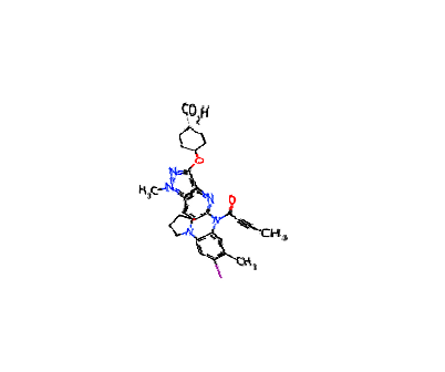 CC#CC(=O)N(c1ccc2c(n1)c(O[C@H]1CC[C@H](C(=O)O)CC1)nn2C)c1cc(C)c(I)cc1N1CCCC1